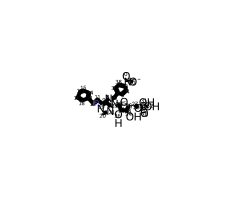 O=[N+]([O-])c1ccc(-c2nc3c(/C=C/c4ccccc4)ncnc3n2[C@@H]2O[C@H](COP(=O)(O)O)[C@@H](O)[C@H]2O)cc1